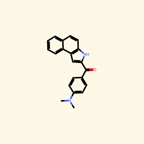 CN(C)c1ccc(C(=O)c2cc3c(ccc4ccccc43)[nH]2)cc1